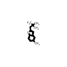 Cc1ccc2oc(CC(C)(C)C(F)(F)F)cc2c1